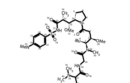 CC[C@H](C)[C@@H]([C@@H](CC(=O)N1CCC[C@H]1[C@H](OC)[C@@H](C)C(=O)NS(=O)(=O)c1ccc(NC)cc1)OC)N(C)C(=O)CNC(=O)C(C(C)C)N(C)C